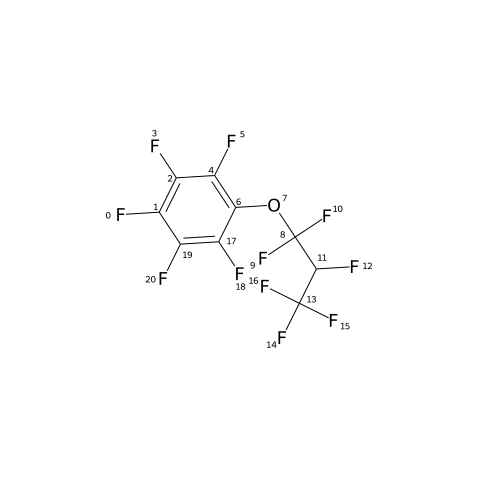 Fc1c(F)c(F)c(OC(F)(F)C(F)C(F)(F)F)c(F)c1F